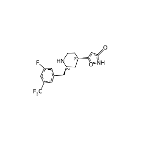 O=c1cc([C@@H]2CCN[C@H](Cc3cc(F)cc(C(F)(F)F)c3)C2)o[nH]1